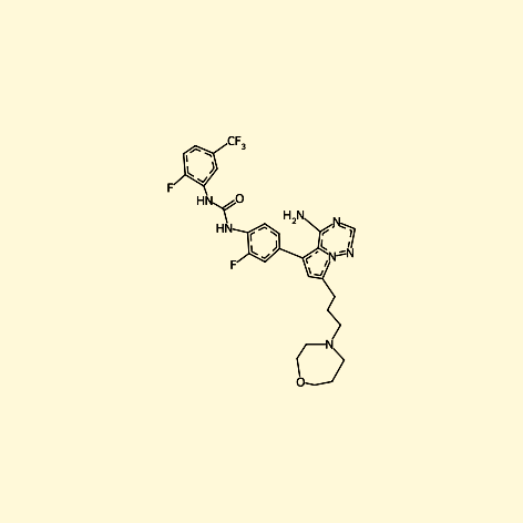 Nc1ncnn2c(CCCN3CCCOCC3)cc(-c3ccc(NC(=O)Nc4cc(C(F)(F)F)ccc4F)c(F)c3)c12